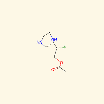 CC(=O)OC[C@@H](F)[C@@H]1CNCCN1